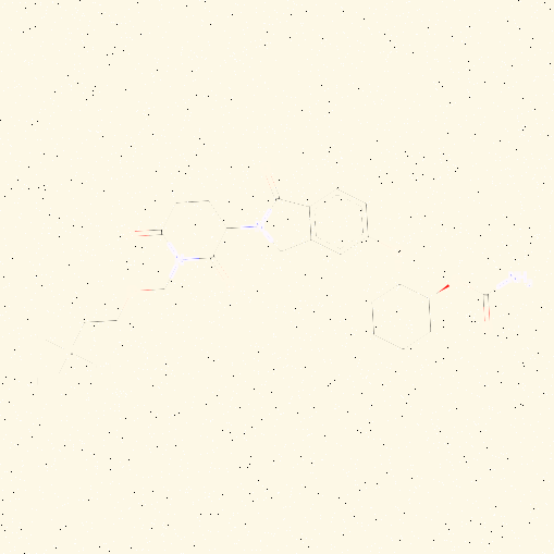 C[Si](C)(C)CCOCN1C(=O)CCC(N2Cc3cc(O[C@H]4CCCC[C@@H]4OC(N)=O)ccc3C2=O)C1=O